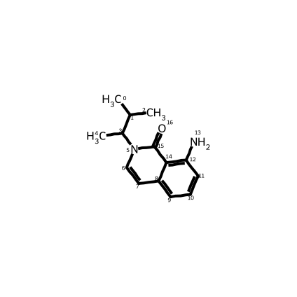 CC(C)C(C)n1ccc2cccc(N)c2c1=O